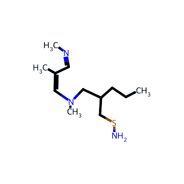 CCCC(CSN)CN(C)/C=C(C)\C=N/C